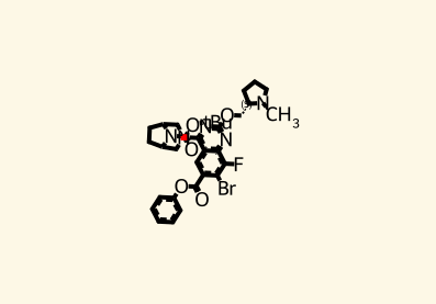 CN1CCC[C@H]1COc1nc(N2CC3CCC(C2)N3C(=O)OC(C)(C)C)c2cc(C(=O)Oc3ccccc3)c(Br)c(F)c2n1